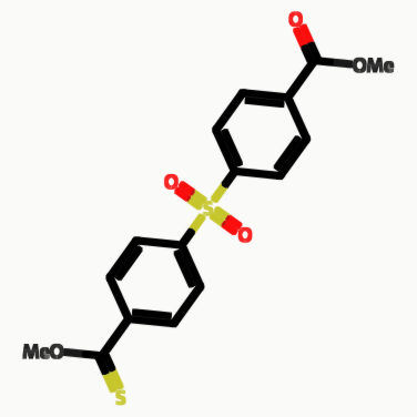 COC(=O)c1ccc(S(=O)(=O)c2ccc(C(=S)OC)cc2)cc1